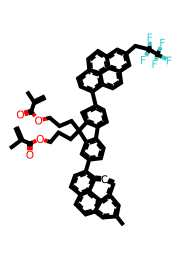 C=C(C)C(=O)OCCCC1(CCCOC(=O)C(=C)C)c2cc(-c3ccc4ccc5cc(C)cc6ccc3c4c56)ccc2-c2ccc(-c3ccc4ccc5cc(CC(F)(F)C(F)(F)F)cc6ccc3c4c56)cc21